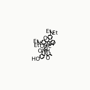 C=C(C)C(=O)Nc1ccc(O)cc1C(=O)NCCCNC1(c2ccccc2C=O)c2ccc(N(CC)CC)cc2Oc2cc(N(CC)CC)ccc21